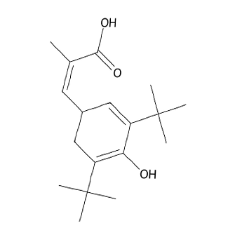 CC(=CC1C=C(C(C)(C)C)C(O)=C(C(C)(C)C)C1)C(=O)O